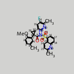 COc1ccc(C)cc1[C@]1(C(=O)NS(=O)(=O)c2cccc3nc(C)ccc23)C[C@@H]1c1cnc(C)c(F)c1